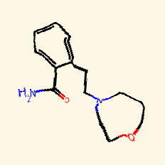 NC(=O)c1ccccc1CCN1CCCOCC1